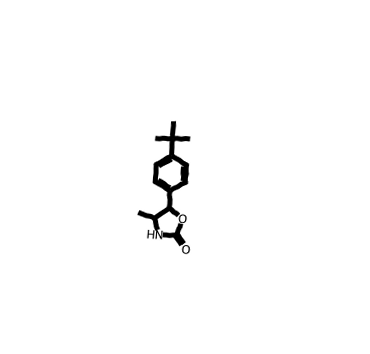 CC1NC(=O)OC1c1ccc(C(C)(C)C)cc1